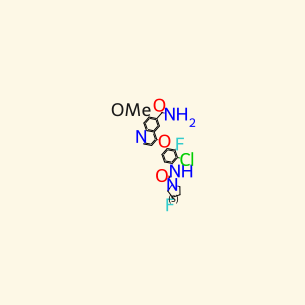 COc1cc2nccc(Oc3ccc(NC(=O)N4CC[C@H](F)C4)c(Cl)c3F)c2cc1C(N)=O